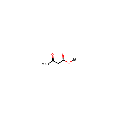 CCOC(=O)[CH]C(=O)OC